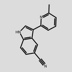 Cc1cccc(-c2c[nH]c3ccc(C#N)cc23)n1